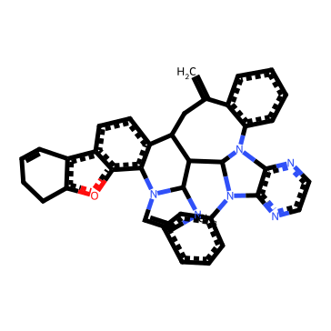 C=C1CC2c3ccc4c5c(oc4c3N3C=CN(C)C3C2C2N(c3ccccc3)c3nccnc3N2c2ccccc21)CCC=C5